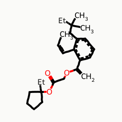 C=C(OCC(=O)OC1(CC)CCCC1)c1cccc(CC(C)(C)CC)c1/C=C\C